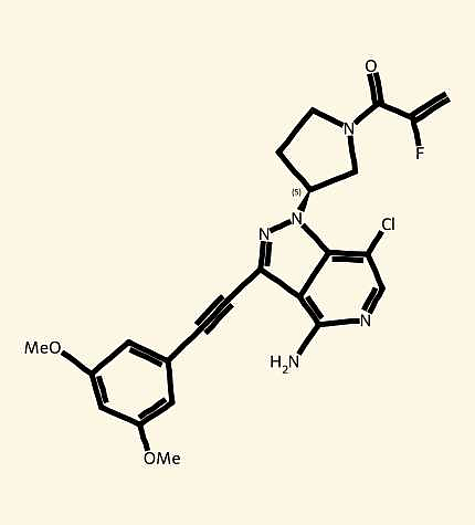 C=C(F)C(=O)N1CC[C@H](n2nc(C#Cc3cc(OC)cc(OC)c3)c3c(N)ncc(Cl)c32)C1